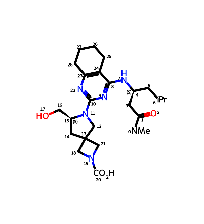 CNC(=O)C[C@H](CC(C)C)Nc1nc(N2CC3(C[C@H]2CO)CN(C(=O)O)C3)nc2c1CCCC2